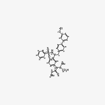 CCOc1cccc(-c2ccc(CC(NS(=O)(=O)c3cccnc3)c3cccc(N(C(=O)OC(C)(C)C)C(C(=O)O)C(C)(C)C)n3)cc2)c1